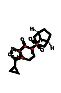 O=C(N[C@H]1C[C@H]2CC[C@@H](C1)N2S(=O)(=O)C1CCNCC1)c1cc(C2CC2)on1